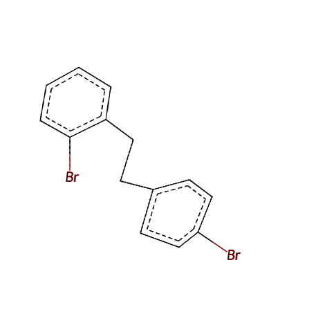 Brc1ccc(CCc2ccccc2Br)cc1